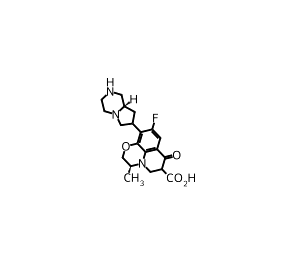 C[C@H]1COc2c(C3C[C@H]4CNCCN4C3)c(F)cc3c2N1CC(C(=O)O)C3=O